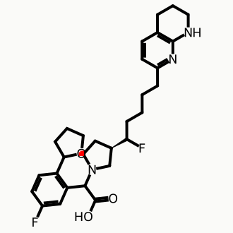 O=C(O)C(c1cc(F)ccc1C1CCCO1)N1CC[C@@H](C(F)CCCCc2ccc3c(n2)NCCC3)C1